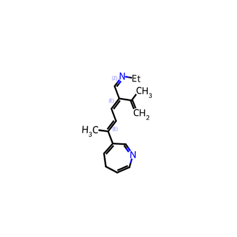 C=C(C)C(/C=N\CC)=C\C=C(/C)C1=CCC=CN=C1